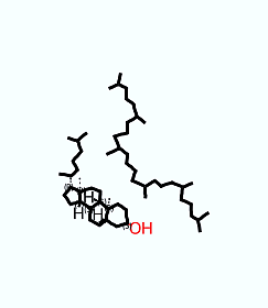 CC(C)CCCC(C)CCCC(C)CCCCC(C)CCCC(C)CCCC(C)C.CC(C)CCCC(C)[C@H]1CC[C@H]2[C@@H]3CC=C4C[C@@H](O)CC[C@]4(C)[C@H]3CC[C@]12C